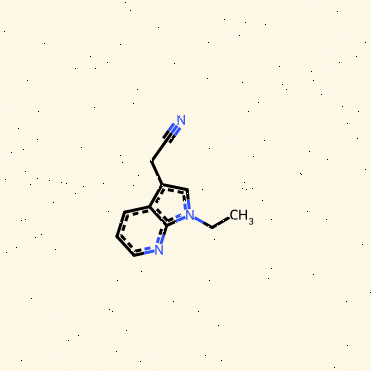 CCn1cc(CC#N)c2cccnc21